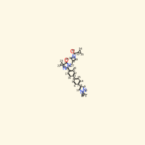 Cc1cc(-c2ccc(-c3cnn(C(C)C)c3)cc2)ccc1C1=NC2(CC2)C(=O)N1CC1CN(C(=O)C2CC2)C1